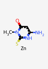 Cn1c(=O)cc(N)[nH]c1=S.[Zn]